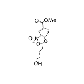 COC(=O)c1ccc(OC(=O)CCCCO)c([N+](=O)[O-])c1